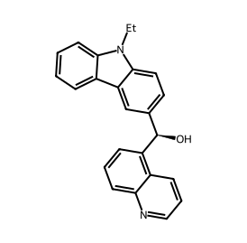 CCn1c2ccccc2c2cc([C@@H](O)c3cccc4ncccc34)ccc21